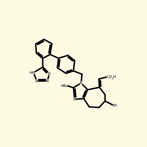 CCCCc1nc2c(n1Cc1ccc(-c3ccccc3-c3nnn[nH]3)cc1)C(=CC(=O)O)CC(C(C)C)CC2